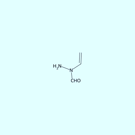 C=CN(N)C=O